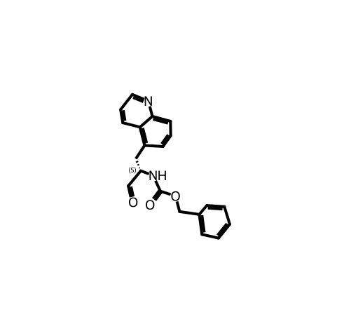 O=C[C@H](Cc1cccc2ncccc12)NC(=O)OCc1ccccc1